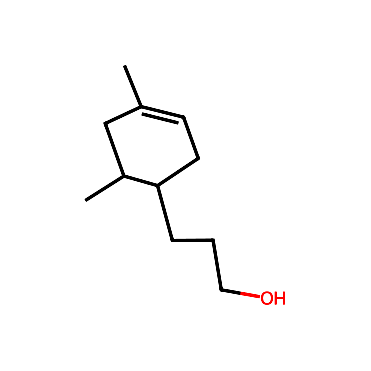 CC1=CCC(CCCO)C(C)C1